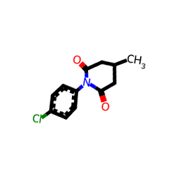 CC1CC(=O)N(c2ccc(Cl)cc2)C(=O)C1